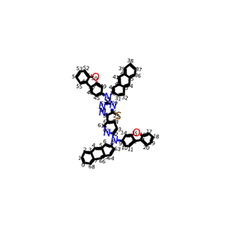 c1ccc2cc3cc(N(c4ccc5c(c4)oc4ccccc45)c4cc5sc6nc(N(c7ccc8cc9ccccc9cc8c7)c7ccc8c(c7)oc7ccccc78)nnc6c5cn4)ccc3cc2c1